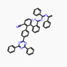 C=C(/N=C(\N=C(/N)c1ccccc1-c1cccc(C#N)c1-c1ccc(-c2nc(-c3ccccc3)nc(-c3ccccc3)n2)cc1)c1ccccc1)c1ccccc1